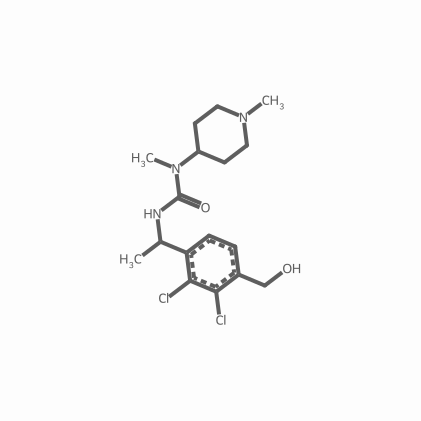 CC(NC(=O)N(C)C1CCN(C)CC1)c1ccc(CO)c(Cl)c1Cl